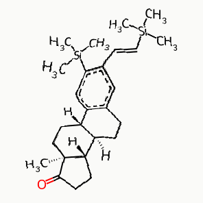 C[C@]12CC[C@@H]3c4cc([Si](C)(C)C)c(C=C[Si](C)(C)C)cc4CC[C@H]3[C@@H]1CCC2=O